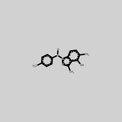 Cc1ccc([S+]([O-])n2nc(C)c3c(O)c(C)ccc32)cc1